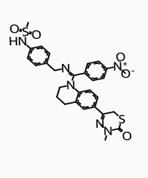 CN1N=C(c2ccc3c(c2)CCCN3/C(=N\Cc2ccc(NS(C)(=O)=O)cc2)c2ccc([N+](=O)[O-])cc2)CSC1=O